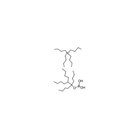 CCCCC(CCCC)C(CCCC)(CCCC)OB(O)O.CCCC[N+](CCCC)(CCCC)CCCC